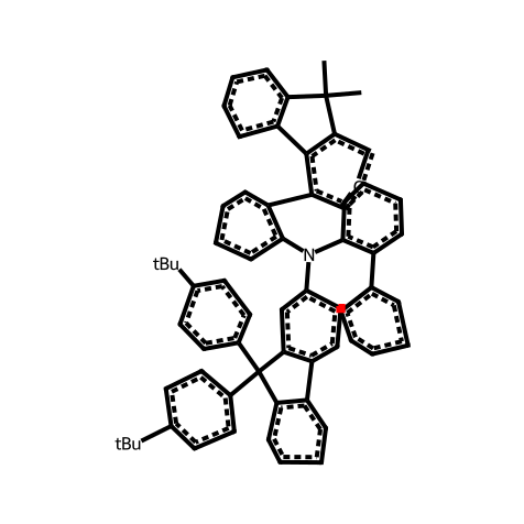 CC(C)(C)c1ccc(C2(c3ccc(C(C)(C)C)cc3)c3ccccc3-c3ccc(N(c4ccccc4-c4ccccc4)c4ccccc4-c4cccc5c4-c4ccccc4C5(C)C)cc32)cc1